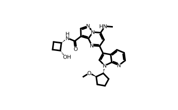 CNc1cc(-c2cn([C@@H]3CCC[C@H]3OC)c3ncccc23)nc2c(C(=O)N[C@H]3CC[C@H]3O)cnn12